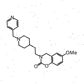 COc1ccc2c(c1)CN(CCC1CCN(Cc3ccncc3)CC1)C(=O)O2